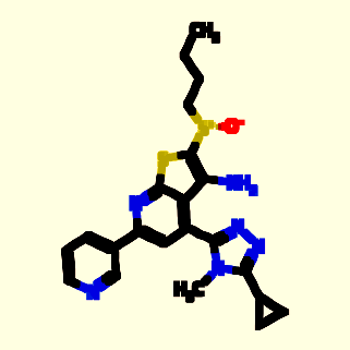 CCCC[S@+]([O-])c1sc2nc(-c3cccnc3)cc(-c3nnc(C4CC4)n3C)c2c1N